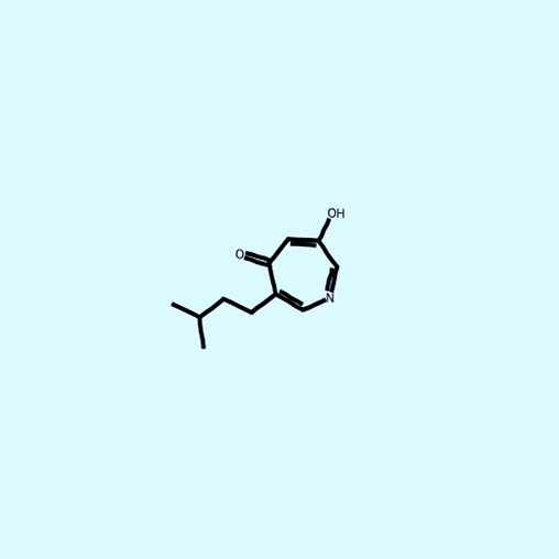 CC(C)CCc1cncc(O)cc1=O